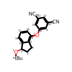 CC(C)(C)O[C@@H]1CCc2c(Oc3cc(C#N)cc(C#N)c3)cccc21